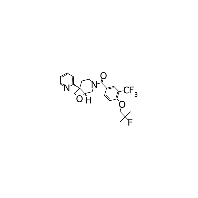 CC(C)(F)COc1ccc(C(=O)N2CC[C@@]3(c4ccccn4)CO[C@H]3C2)cc1C(F)(F)F